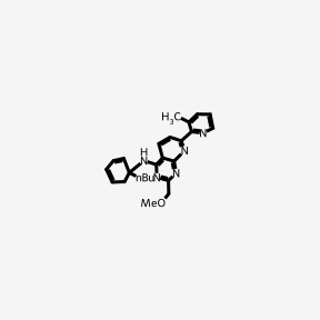 CCCCC1(Nc2nc(COC)nc3nc(-c4ncccc4C)ccc23)C=CC=CC1